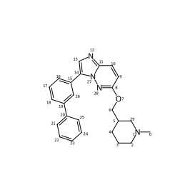 CN1CCCC(COc2ccc3ncc(-c4cccc(-c5ccccc5)c4)n3n2)C1